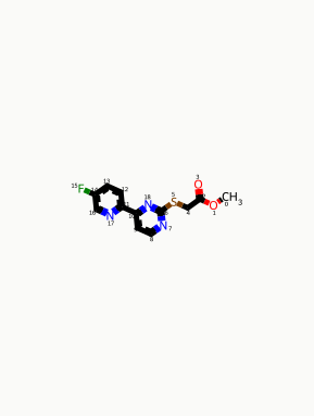 COC(=O)CSc1nccc(-c2ccc(F)cn2)n1